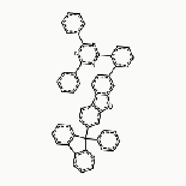 c1ccc(-c2nc(-c3ccccc3)nc(-c3ccccc3-c3ccc4c(c3)oc3cc(C5(c6ccccc6)c6ccccc6-c6ccccc65)ccc34)n2)cc1